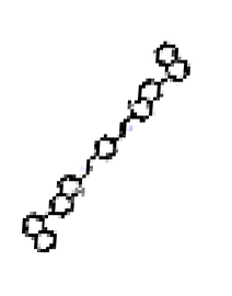 C(=C\c1ccc2cc(-c3cccc4ccccc34)ccc2n1)/c1ccc(/C=C/c2ccc3cc(-c4cccc5ccccc45)ccc3n2)cc1